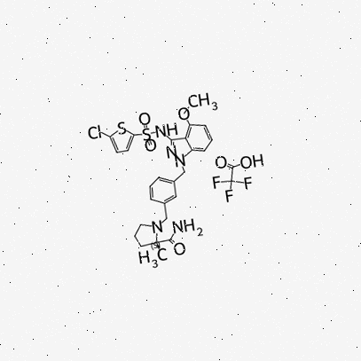 COc1cccc2c1c(NS(=O)(=O)c1ccc(Cl)s1)nn2Cc1cccc(CN2CCC[C@@]2(C)C(N)=O)c1.O=C(O)C(F)(F)F